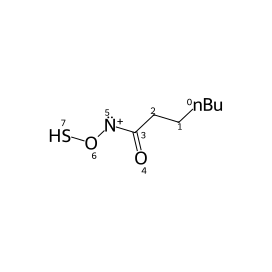 CCCCCCC(=O)[N+]OS